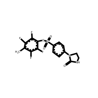 Cc1c(F)c(F)c(OS(=O)(=O)c2ccc(N3CCNC3=O)cc2)c(F)c1F